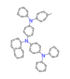 Cc1ccc(N(c2ccccc2)c2ccc(N(c3ccc(N(c4ccccc4)c4ccccc4)cc3)c3cccc4ccccc34)cc2)cc1